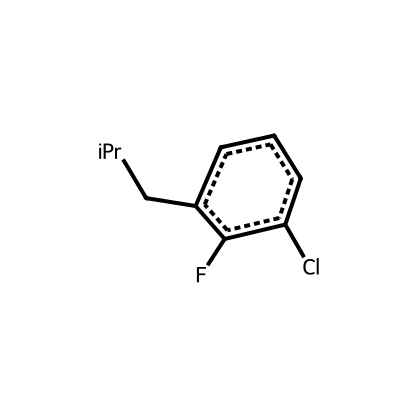 CC(C)Cc1cccc(Cl)c1F